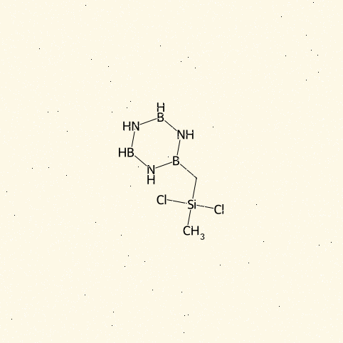 C[Si](Cl)(Cl)CB1NBNBN1